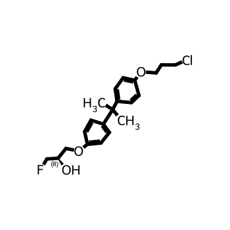 CC(C)(c1ccc(OCCCCl)cc1)c1ccc(OC[C@@H](O)CF)cc1